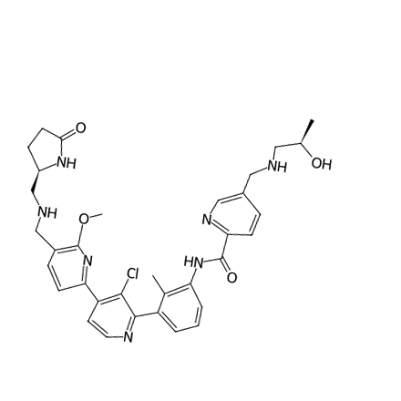 COc1nc(-c2ccnc(-c3cccc(NC(=O)c4ccc(CNC[C@@H](C)O)cn4)c3C)c2Cl)ccc1CNC[C@H]1CCC(=O)N1